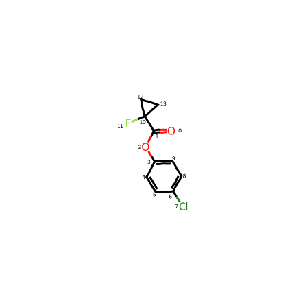 O=C(Oc1ccc(Cl)cc1)C1(F)CC1